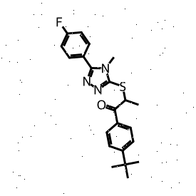 CC(Sc1nnc(-c2ccc(F)cc2)n1C)C(=O)c1ccc(C(C)(C)C)cc1